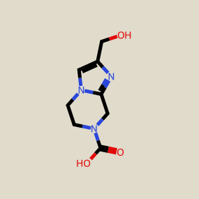 O=C(O)N1CCn2cc(CO)nc2C1